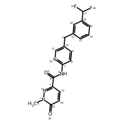 Cn1nc(C(=O)Nc2ccc(Cc3cccc(C(F)F)c3)cn2)ccc1=O